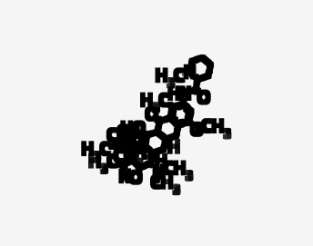 COc1cc(NC(=O)C2CCCCN2C)c(C)c2c1C[C@H]1C[C@H]3[C@H](N(C)C)C4ON=C(C)C4C(=O)[C@@]3(O[Si](C)(C)C(C)(C)C)C(O)C1C2=O